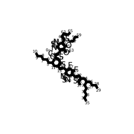 C=C=C=CC(CCCCCC)Cc1cc(-c2c(F)c(F)c(-c3cc(CC(CCCC)CCCCCC)c(C)s3)c3nsnc23)sc1-c1ccc(-c2c(OC)c(OCCCC)c(-c3ccc(C)s3)c3nsnc23)s1